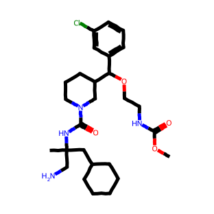 COC(=O)NCCOC(c1cccc(Cl)c1)C1CCCN(C(=O)NC(C)(CN)CC2CCCCC2)C1